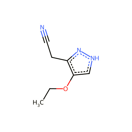 CCOc1c[nH]nc1CC#N